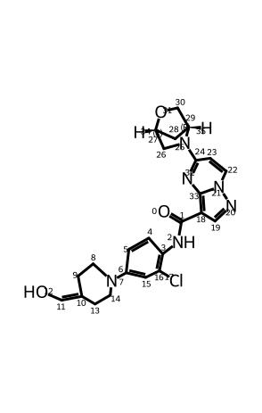 O=C(Nc1ccc(N2CCC(=CO)CC2)cc1Cl)c1cnn2ccc(N3C[C@H]4C[C@@H]3CO4)nc12